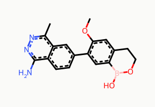 COc1cc2c(cc1-c1ccc3c(N)nnc(C)c3c1)B(O)OCC2